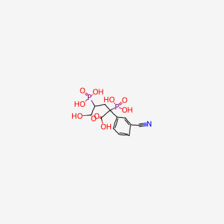 N#Cc1cccc(C(CC(C(=O)O)P(=O)(O)O)(C(=O)O)P(=O)(O)O)c1